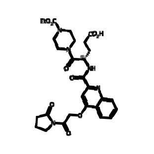 CCOC(=O)N1CCN(C(=O)[C@H](CCC(=O)O)NC(=O)c2cc(OCC(=O)N3CCCC3=O)c3ccccc3n2)CC1